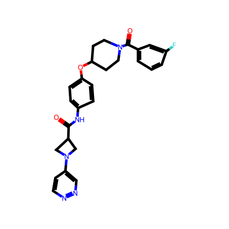 O=C(Nc1ccc(OC2CCN(C(=O)c3cccc(F)c3)CC2)cc1)C1CN(c2ccnnc2)C1